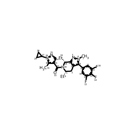 CC[C@H]1Cc2c(nn(C)c2-c2cc(F)c(F)c(F)c2)[C@@H](CC)N1C(=O)c1cnn(C2CC2)c1C